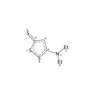 CCN(CC)c1cc(=S)ss1